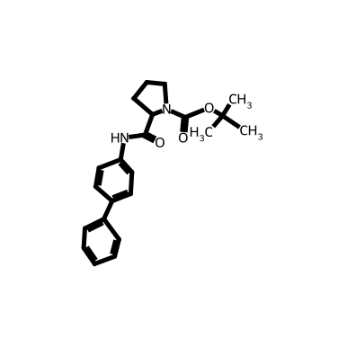 CC(C)(C)OC(=O)N1CCCC1C(=O)Nc1ccc(-c2ccccc2)cc1